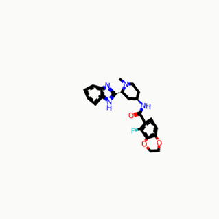 CN1CC[C@@H](NC(=O)c2ccc3c(c2F)OCCO3)C[C@@H]1c1nc2ccccc2[nH]1